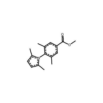 COC(=O)c1cc(C)c(-n2c(C)ccc2C)c(C)c1